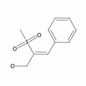 CS(=O)(=O)C(=Cc1ccccc1)C[O]